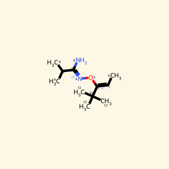 C/C=C(\O/N=C(\N)C(C)C)C(C)(C)C